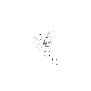 CC(=O)c1c([C@@H]2C[C@H]3CC[C@@H](C2)N3C(=O)c2nnc[nH]2)nc2c(-c3ccc(-c4cc[nH]n4)nc3)cnn2c1N